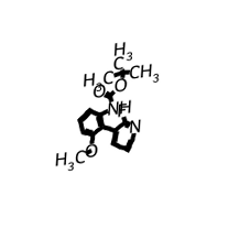 COc1cccc(NC(=O)OC(C)(C)C)c1-c1cccnc1F